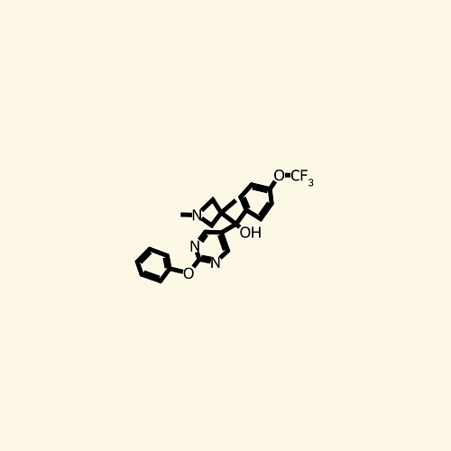 CN1CC(C)(C(O)(c2ccc(OC(F)(F)F)cc2)c2cnc(Oc3ccccc3)nc2)C1